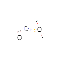 O=S(=O)(NCC1CCN(CC2COc3ccc(Cl)cc3O2)CC1)c1cc(OCC(F)(F)F)ccc1OCC(F)(F)F